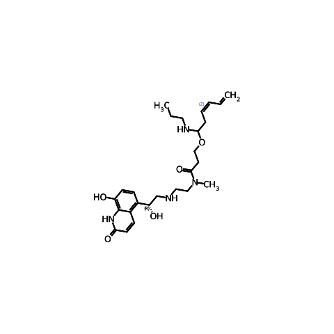 C=C/C=C\CC(NCCC)OCCC(=O)N(C)CCNC[C@H](O)c1ccc(O)c2[nH]c(=O)ccc12